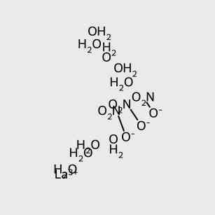 O.O.O.O.O.O.O.O.O.O=[N+]([O-])[O-].O=[N+]([O-])[O-].O=[N+]([O-])[O-].[La+3]